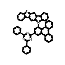 c1ccc(-c2nc(-c3ccccc3)nc(-c3cc(-n4c5ccccc5c5cc6oc7ccccc7c6cc54)c4c5ccccc5c5ccccc5c4c3)n2)cc1